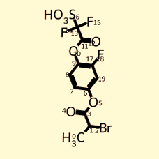 CC(Br)C(=O)Oc1ccc(OC(=O)C(F)(F)S(=O)(=O)O)c(F)c1